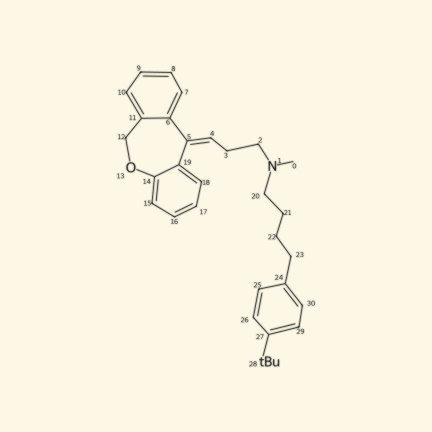 CN(CCC=C1c2ccccc2COc2ccccc21)CCCCc1ccc(C(C)(C)C)cc1